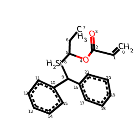 C=CC(=O)OC(CC)[SiH2]C(c1ccccc1)c1ccccc1